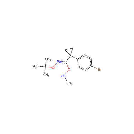 CNO/C(=N\OC(C)(C)C)C1(c2ccc(Br)cc2)CC1